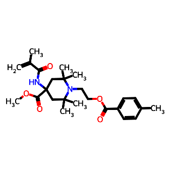 C=C(C)C(=O)NC1(C(=O)OC)CC(C)(C)N(CCOC(=O)c2ccc(C)cc2)C(C)(C)C1